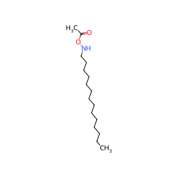 CCCCCCCCCCCCCCNOC(C)=O